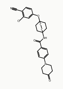 N#Cc1ccc(OC23CCC(NC(=O)c4ccc(N5CCC(=O)CC5)cc4)(CC2)CC3)cc1Cl